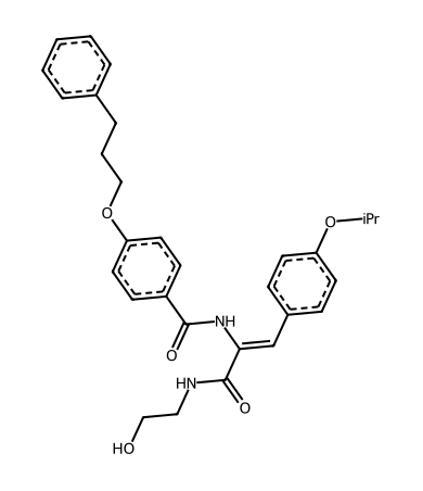 CC(C)Oc1ccc(C=C(NC(=O)c2ccc(OCCCc3ccccc3)cc2)C(=O)NCCO)cc1